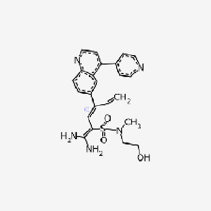 C=C/C(=C\C(=C(N)N)S(=O)(=O)N(C)CCO)c1ccc2nccc(-c3ccncc3)c2c1